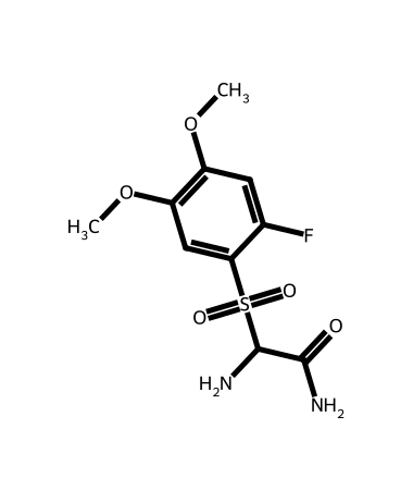 COc1cc(F)c(S(=O)(=O)C(N)C(N)=O)cc1OC